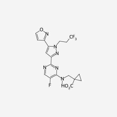 CN(CC1(C(=O)O)CC1)c1nc(-c2cc(-c3ccon3)n(CCC(F)(F)F)n2)ncc1F